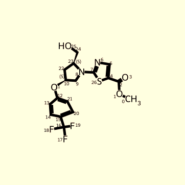 COC(=O)c1cnc(N2C[C@@H](Oc3ccc(C(F)(F)F)cc3)C[C@H]2CO)s1